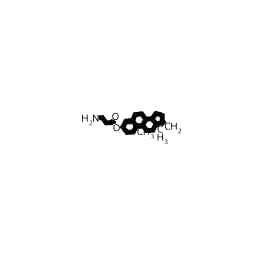 C=C1CCC2C3CCC4=C[C@@H](OC(=O)CCN)CC[C@]4(C)C3CC[C@]12C